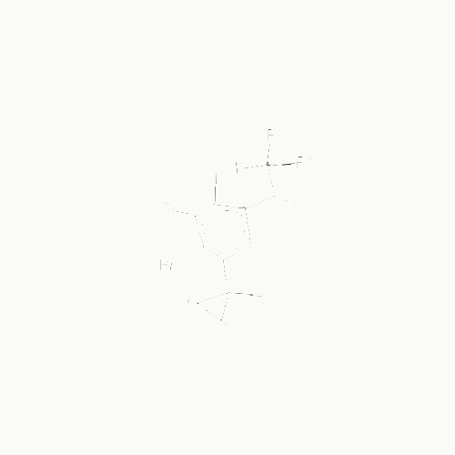 Cc1c(C(C)C(F)(F)F)cc(C2(C)CC2)c(Br)c1F